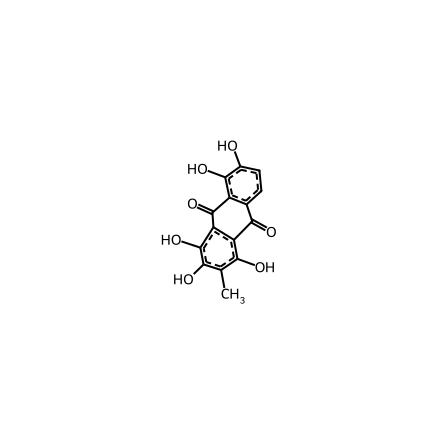 Cc1c(O)c(O)c2c(c1O)C(=O)c1ccc(O)c(O)c1C2=O